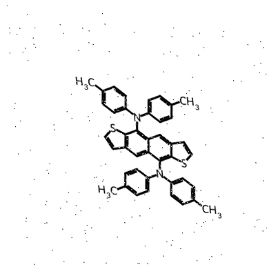 Cc1ccc(N(c2ccc(C)cc2)c2c3cc4ccsc4c(N(c4ccc(C)cc4)c4ccc(C)cc4)c3cc3ccsc23)cc1